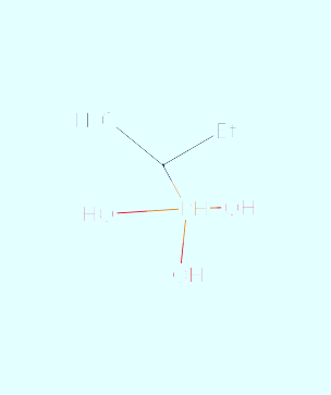 CCC(C)[PH](O)(O)O